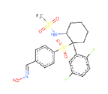 O=S(=O)(NC1CCCCC1(c1cc(F)ccc1F)S(=O)(=O)c1ccc(C=NO)cc1)C(F)(F)F